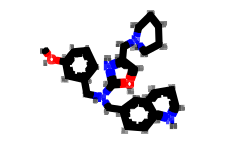 COc1cccc(CN(Cc2ccc3ncccc3c2)c2nc(CN3CCCCC3)co2)c1